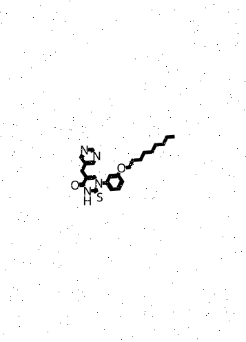 CCCCCCCCCOc1cccc(-n2cc(Cc3cncnc3)c(=O)[nH]c2=S)c1